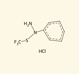 Cl.NN(SC(F)(F)F)c1ccccc1